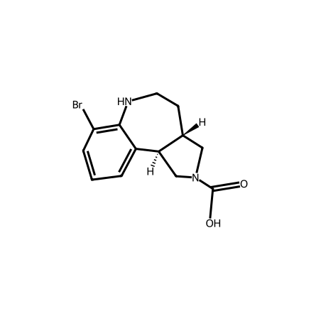 O=C(O)N1C[C@H]2CCNc3c(Br)cccc3[C@@H]2C1